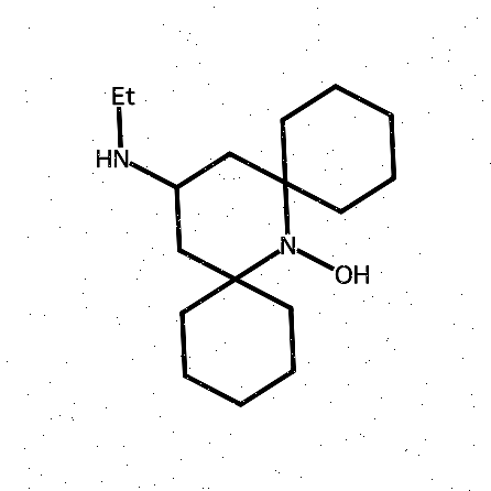 CCNC1CC2(CCCCC2)N(O)C2(CCCCC2)C1